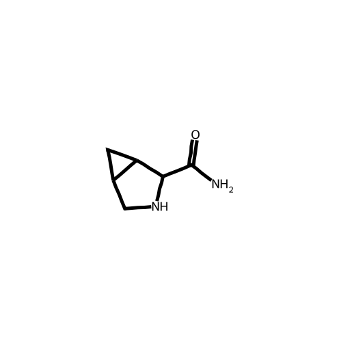 NC(=O)C1NCC2CC21